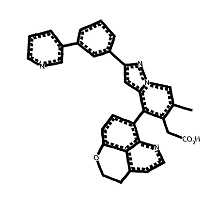 Cc1cn2nc(-c3cccc(-c4cccnc4)c3)cc2c(-c2ccc3c4c(ccnc24)CCO3)c1CC(=O)O